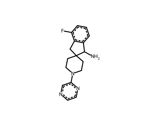 NC1c2cccc(F)c2CC12CCN(c1cnccn1)CC2